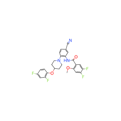 COc1cc(F)c(F)cc1C(=O)Nc1cc(C#N)ccc1N1CCC(Oc2ccc(F)cc2F)CC1